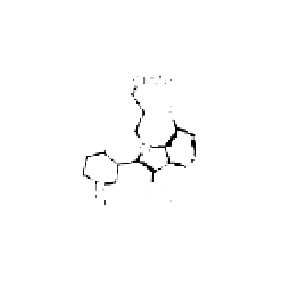 COCCCn1c(C2CCCNC2)c(C)c2cccc(F)c21